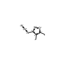 Cc1onc(N=[N+]=[N-])c1C